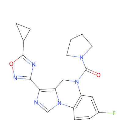 O=C(N1CCCC1)N1Cc2c(-c3noc(C4CC4)n3)ncn2-c2ccc(F)cc21